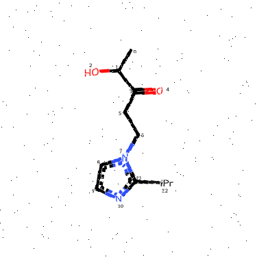 CC(O)C(=O)CCn1ccnc1C(C)C